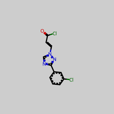 O=C(Cl)/C=C/n1cnc(-c2cccc(Cl)c2)n1